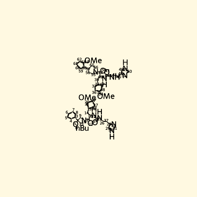 CCCCOC1(c2ccccc2)CN(C(=O)C(Cc2ccc(OC)cc2)NC(=O)NCCc2c[nH]cn2)C1.COc1ccc(CC(NC(=O)NCCc2c[nH]cn2)C(=O)N2CCC(c3ccccc3OC)CC2)cc1